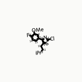 COc1cc(-c2nc(Cl)sc2CCC(C)C)ccc1F